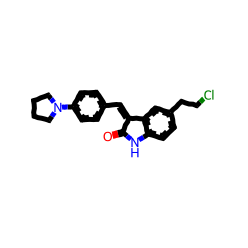 O=C1Nc2ccc(CCCl)cc2C1=Cc1ccc(N2CCCC2)cc1